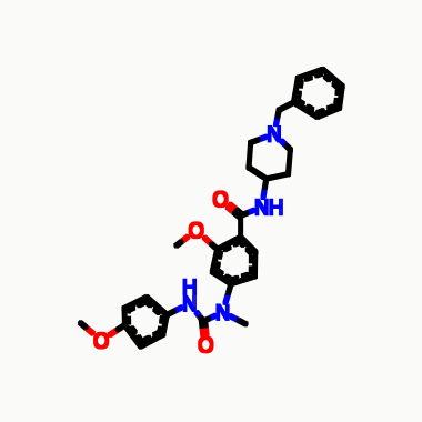 COc1ccc(NC(=O)N(C)c2ccc(C(=O)NC3CCN(Cc4ccccc4)CC3)c(OC)c2)cc1